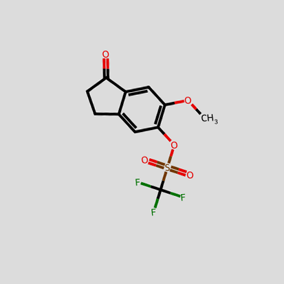 COc1cc2c(cc1OS(=O)(=O)C(F)(F)F)CCC2=O